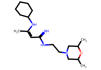 C/C(=C/C(=N)NCCN1CC(C)OC(C)C1)NC1CCCCC1